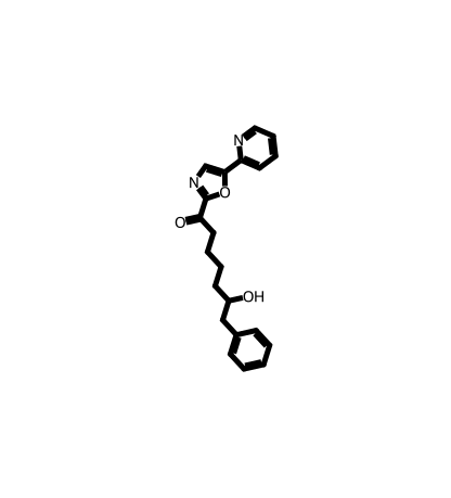 O=C(CCCCC(O)Cc1ccccc1)c1ncc(-c2ccccn2)o1